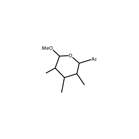 COC1OC(C(C)=O)C(C)C(C)C1C